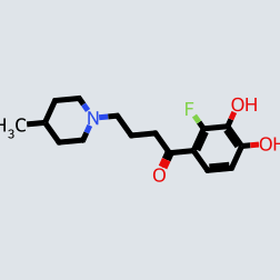 CC1CCN(CCCC(=O)c2ccc(O)c(O)c2F)CC1